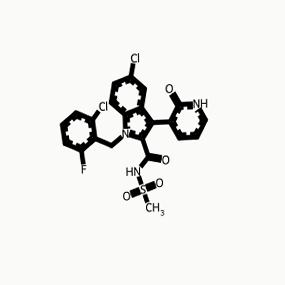 CS(=O)(=O)NC(=O)c1c(-c2ccc[nH]c2=O)c2cc(Cl)ccc2n1Cc1c(F)cccc1Cl